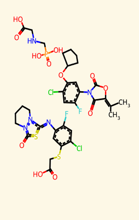 CC(C)=C1OC(=O)N(c2cc(OC3CCCC3)c(Cl)cc2F)C1=O.O=C(O)CNCP(=O)(O)O.O=C(O)CSc1cc(N=c2sc(=O)n3n2CCCC3)c(F)cc1Cl